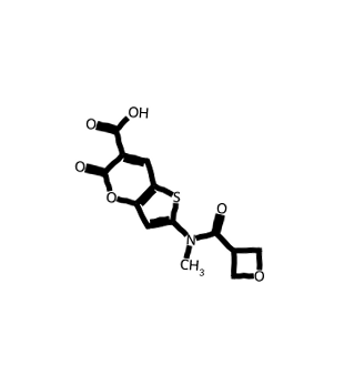 CN(C(=O)C1COC1)c1cc2oc(=O)c(C(=O)O)cc2s1